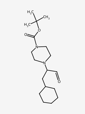 CC(C)(C)OC(=O)N1CCN(C(C=O)CC2CCCCC2)CC1